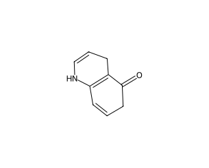 O=C1CC=CC2=C1CC=CN2